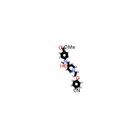 COC(=O)c1ccc(N(C)CC2(O)CCN(CCOc3ccc(C#N)cc3)CC2)cc1